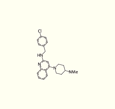 CNC1CCN(c2cc(NCc3ccc(Cl)cc3)nc3ccccc23)CC1